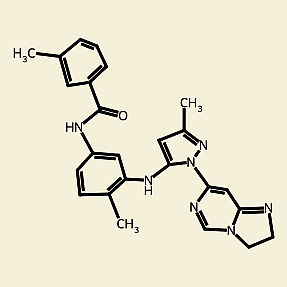 Cc1cccc(C(=O)Nc2ccc(C)c(Nc3cc(C)nn3C3=CC4=NCCN4C=N3)c2)c1